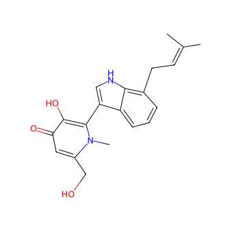 CC(C)=CCc1cccc2c(-c3c(O)c(=O)cc(CO)n3C)c[nH]c12